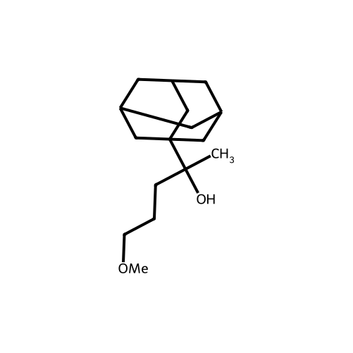 COCCCC(C)(O)C12CC3CC(CC(C3)C1)C2